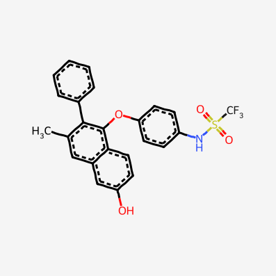 Cc1cc2cc(O)ccc2c(Oc2ccc(NS(=O)(=O)C(F)(F)F)cc2)c1-c1ccccc1